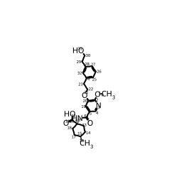 COc1ncc(C(=O)N[C@]2(C(=O)O)CC[C@@H](C)CC2)cc1OCCc1cccc(CCO)c1